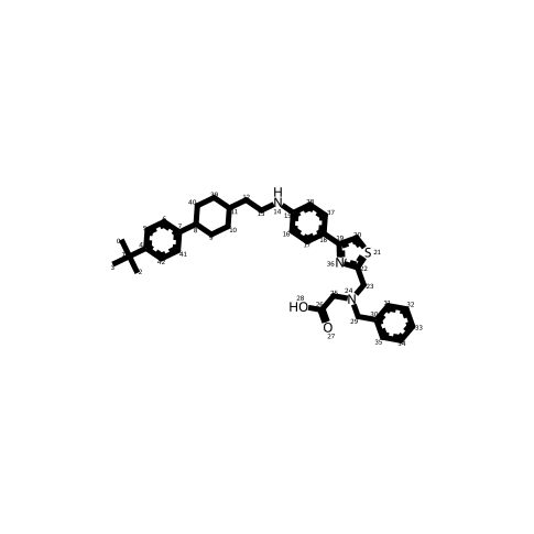 CC(C)(C)c1ccc(C2CCC(CCNc3ccc(-c4csc(CN(CC(=O)O)Cc5ccccc5)n4)cc3)CC2)cc1